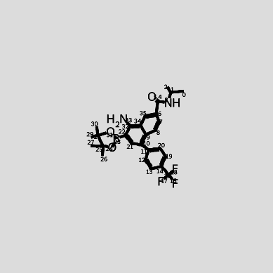 CC(C)NC(=O)c1ccc2c(-c3ccc(C(F)(F)F)cc3)cc(B3OC(C)(C)C(C)(C)O3)c(N)c2c1